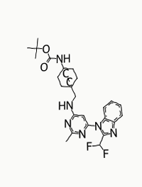 Cc1nc(NCC23CCC(NC(=O)OC(C)(C)C)(CC2)CC3)cc(-n2c(C(F)F)nc3ccccc32)n1